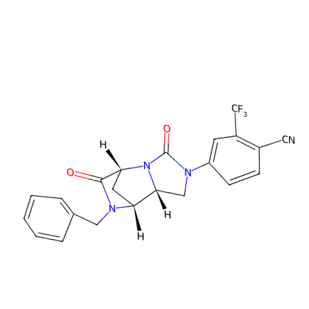 N#Cc1ccc(N2C[C@@H]3[C@H]4C[C@H](C(=O)N4Cc4ccccc4)N3C2=O)cc1C(F)(F)F